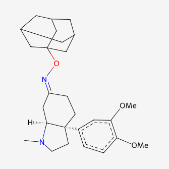 COc1ccc([C@@]23CC/C(=N\OC45CC6CC(CC(C6)C4)C5)C[C@@H]2N(C)CC3)cc1OC